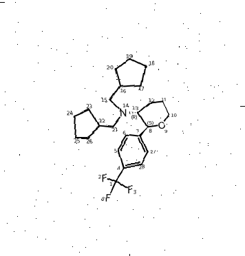 FC(F)(F)c1ccc([C@@H]2O[CH]CC[C@H]2N(CC2CCCC2)CC2CCCC2)cc1